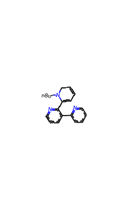 CCCCN1CC=CC=C1c1ncccc1-c1ccccn1